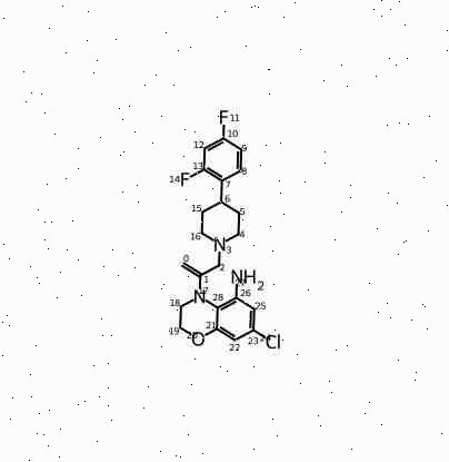 C=C(CN1CCC(c2ccc(F)cc2F)CC1)N1CCOc2cc(Cl)cc(N)c21